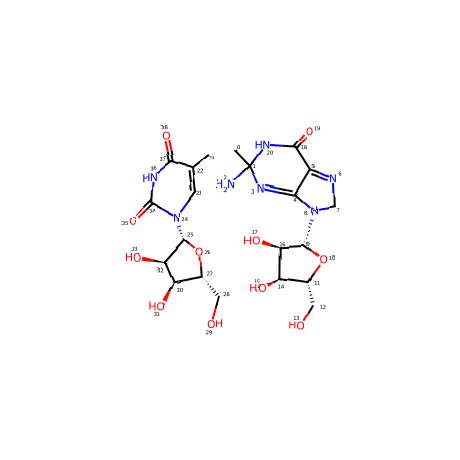 CC1(N)N=C2C(=NCN2[C@@H]2O[C@H](CO)[C@@H](O)[C@H]2O)C(=O)N1.Cc1cn([C@@H]2O[C@H](CO)[C@@H](O)[C@H]2O)c(=O)[nH]c1=O